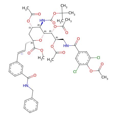 COC(=O)[C@@]1(C/C=C/c2cccc(C(=O)NCc3ccccc3)c2)C[C@H](OC(C)=O)[C@@H](NC(=O)OC(C)(C)C)[C@H]([C@H](OC(C)=O)[C@@H](CNC(=O)c2cc(Cl)c(OC(C)=O)c(Cl)c2)OC(C)=O)O1